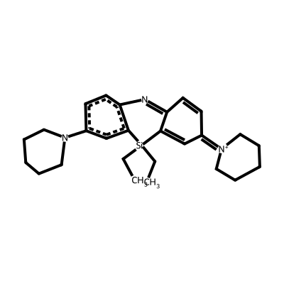 CC[Si]1(CC)C2=CC(=[N+]3CCCCC3)C=CC2=Nc2ccc(N3CCCCC3)cc21